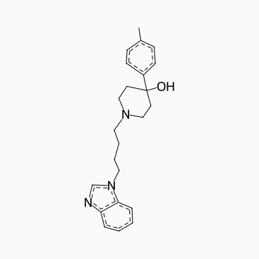 Cc1ccc(C2(O)CCN(CCCCn3cnc4ccccc43)CC2)cc1